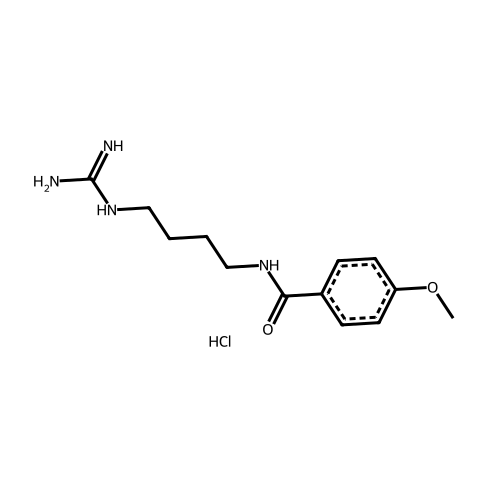 COc1ccc(C(=O)NCCCCNC(=N)N)cc1.Cl